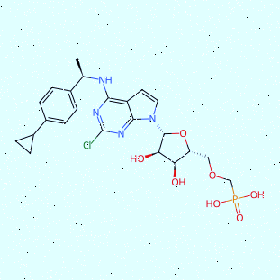 C[C@@H](Nc1nc(Cl)nc2c1ccn2[C@@H]1O[C@H](COCP(=O)(O)O)[C@@H](O)[C@H]1O)c1ccc(C2CC2)cc1